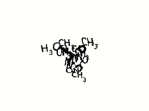 CCn1c(CCCC(C)(C)C)nnc1[C@@H]1[C@@H](C(=O)Nc2ccc(C)cc2C)CCN1C(C)=O